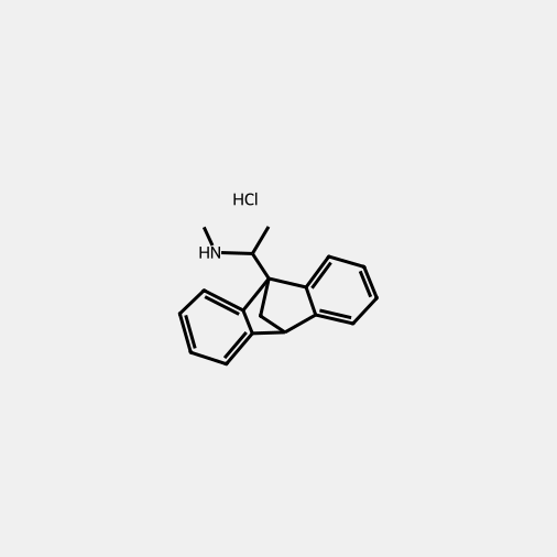 CNC(C)C12CC(c3ccccc31)c1ccccc12.Cl